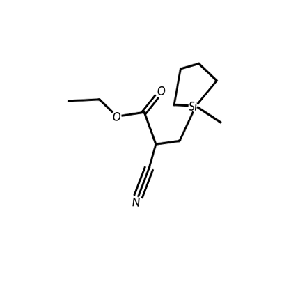 CCOC(=O)C(C#N)C[Si]1(C)CCCC1